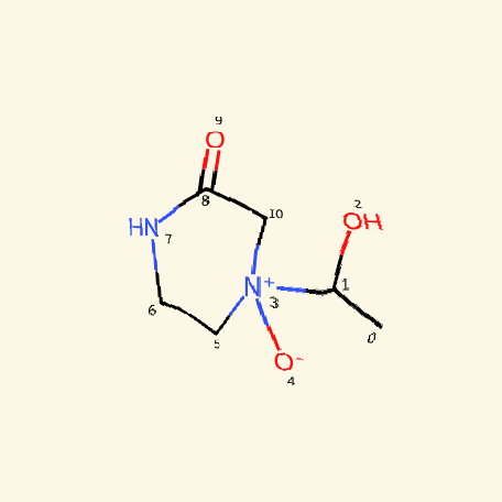 CC(O)[N+]1([O-])CCNC(=O)C1